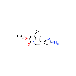 Cc1c(-c2ccc(N)nc2)ccn2c(=O)c(OC(=O)O)cc(C3CC3)c12